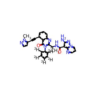 [2H]c1c([2H])c([2H])c(-n2c([C@@H](C)NC(=O)c3c(N)nn4cccnc34)nc3cccc(C#Cc4ccnn4C)c3c2=O)c([2H])c1[2H]